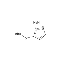 CCCCSc1ccns1.[NaH]